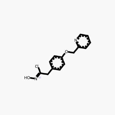 O/N=C(\Cl)Cc1ccc(OCc2ccccn2)cc1